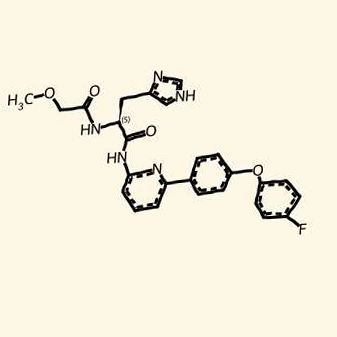 COCC(=O)N[C@@H](Cc1c[nH]cn1)C(=O)Nc1cccc(-c2ccc(Oc3ccc(F)cc3)cc2)n1